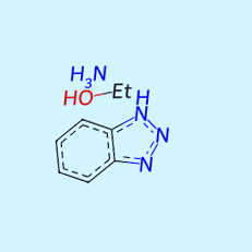 CCO.N.c1ccc2[nH]nnc2c1